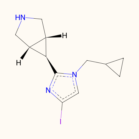 Ic1cn(CC2CC2)c([C@H]2[C@@H]3CNC[C@@H]32)n1